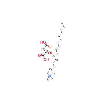 CCCCCCCCCCCCCCCC[N+](C)(C)C.O=C(O)CC(O)C(=O)O